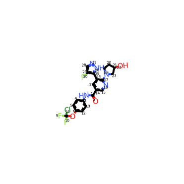 O=C(Nc1ccc(OC(F)(F)Cl)cc1)c1cnc(N2CCC(O)C2)c(-c2[nH]ncc2F)c1